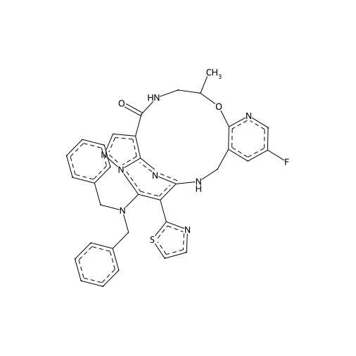 CC1CNC(=O)c2cnn3c(N(Cc4ccccc4)Cc4ccccc4)c(-c4nccs4)c(nc23)NCc2cc(F)cnc2O1